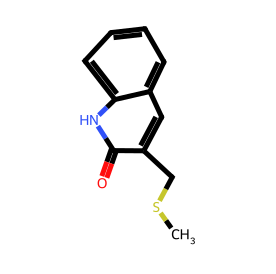 CSCc1cc2ccccc2[nH]c1=O